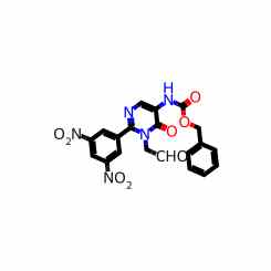 O=CCn1c(-c2cc([N+](=O)[O-])cc([N+](=O)[O-])c2)ncc(NC(=O)OCc2ccccc2)c1=O